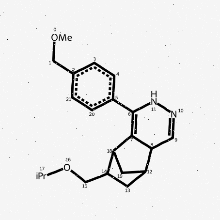 COCc1ccc(C2=C3C(C=NN2)C2CC(COC(C)C)C3C2)cc1